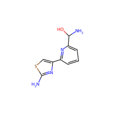 Nc1nc(-c2cccc(C(N)O)n2)cs1